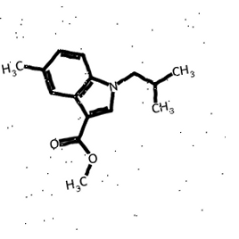 COC(=O)c1cn(CC(C)C)c2ccc(C)cc12